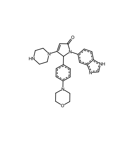 O=C1C=C(N2CCNCC2)C(c2ccc(N3CCOCC3)cc2)N1c1ccc2[nH]cnc2c1